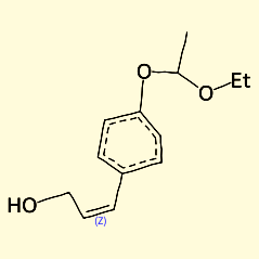 CCOC(C)Oc1ccc(/C=C\CO)cc1